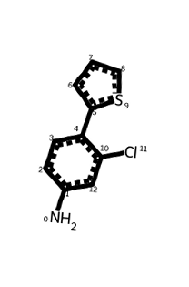 Nc1ccc(-c2cccs2)c(Cl)c1